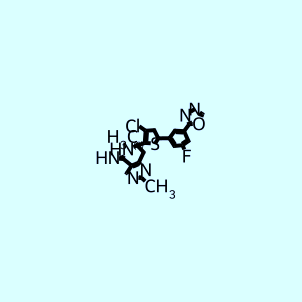 Cc1ncc2c(n1)C[C@@](C)(C1=C(Cl)CC(c3cc(F)cc(-c4nnco4)c3)S1)NC2=N